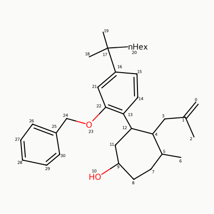 C=C(C)CC1C(C)CCC(O)CC1c1ccc(C(C)(C)CCCCCC)cc1OCc1ccccc1